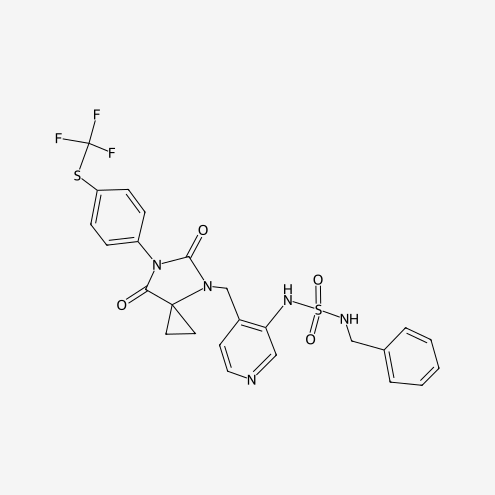 O=C1N(c2ccc(SC(F)(F)F)cc2)C(=O)C2(CC2)N1Cc1ccncc1NS(=O)(=O)NCc1ccccc1